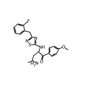 COc1ccc(C(=O)C(CC(C)N)Nc2nc(Cc3ccccc3F)ns2)cc1